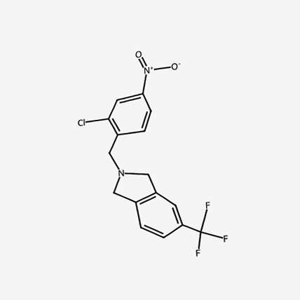 O=[N+]([O-])c1ccc(CN2Cc3ccc(C(F)(F)F)cc3C2)c(Cl)c1